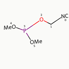 [C-]#[N+]COP(OC)OC